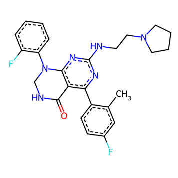 Cc1cc(F)ccc1-c1nc(NCCN2CCCC2)nc2c1C(=O)NCN2c1ccccc1F